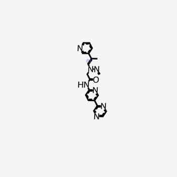 C=NN(/C=C(\C)c1cccnc1)CC(=O)Nc1ccc(-c2cnccn2)cn1